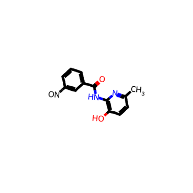 Cc1ccc(O)c(NC(=O)c2cccc(N=O)c2)n1